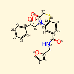 O=C(NCc1ccco1)c1ccc2c(c1)N(CC(O)c1ccccc1)C(=O)CS2